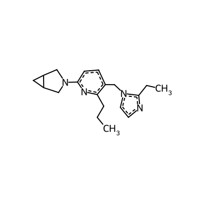 CCCc1nc(N2CC3CC3C2)ccc1Cn1ccnc1CC